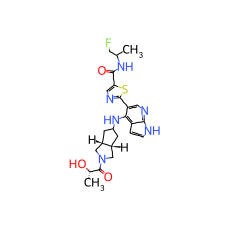 CC(CF)NC(=O)c1cnc(-c2cnc3[nH]ccc3c2NC2C[C@@H]3CN(C(=O)[C@H](C)O)C[C@@H]3C2)s1